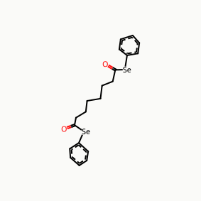 O=C(CCCCCCC(=O)[Se]c1ccccc1)[Se]c1ccccc1